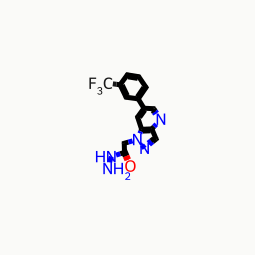 NNC(=O)Cn1ncc2ncc(-c3cccc(C(F)(F)F)c3)cc21